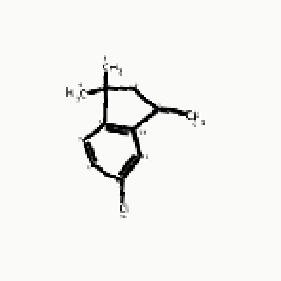 CC1CC(C)(C)c2ccc(Cl)cc21